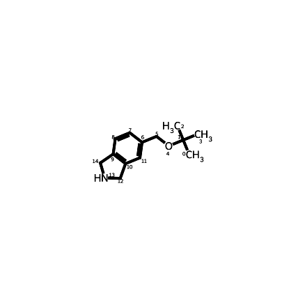 CC(C)(C)OCc1ccc2c(c1)CNC2